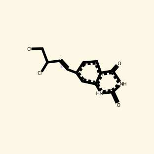 O=c1[nH]c(=O)c2ccc(/C=C/C(Cl)CCl)cc2[nH]1